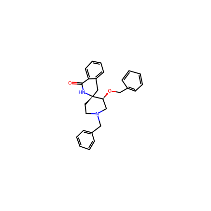 O=C1N[C@]2(CCN(Cc3ccccc3)C[C@@H]2OCc2ccccc2)Cc2ccccc21